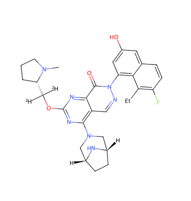 [2H]C([2H])(Oc1nc(N2C[C@H]3CC[C@@H](C2)N3)c2cnn(-c3cc(O)cc4ccc(F)c(CC)c34)c(=O)c2n1)[C@@H]1CCCN1C